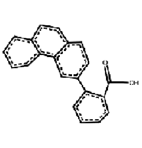 O=C(O)c1ccccc1-c1ccc2ccc3ccccc3c2c1